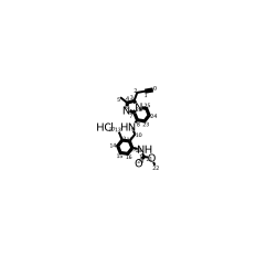 C#CCc1c(C)nc2c(NCc3c(C)cccc3NC(=O)OC)cccn12.Cl